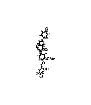 CCS(=O)(=O)CC(O)COc1ccc(-n2cnc3cc(-c4ccc(Cl)cc4)sc3c2=O)cc1OC